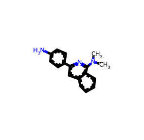 CN(C)c1nc(-c2ccc(N)cc2)cc2ccccc12